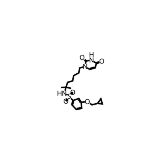 CC(C)(CCCCCn1ccc(=O)[nH]c1=O)NS(=O)(=O)c1cccc(OCC2CC2)c1